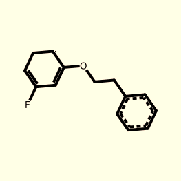 FC1=CC[CH]C(OCCc2ccccc2)=C1